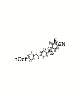 CCCCCCCCC1CCC(CCC2CCC(C(=O)Oc3ccc(C#N)c(F)c3F)CC2)CC1